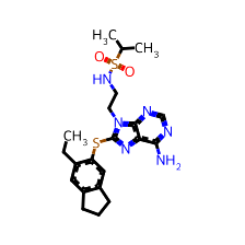 CCc1cc2c(cc1Sc1nc3c(N)ncnc3n1CCNS(=O)(=O)C(C)C)CCC2